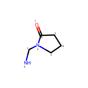 [NH]CN1CCCC1=O